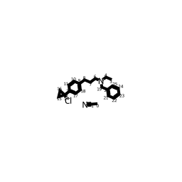 CC#N.CCN(CCCc1ccc(C2(Cl)CC2)cc1)Cc1ccccc1